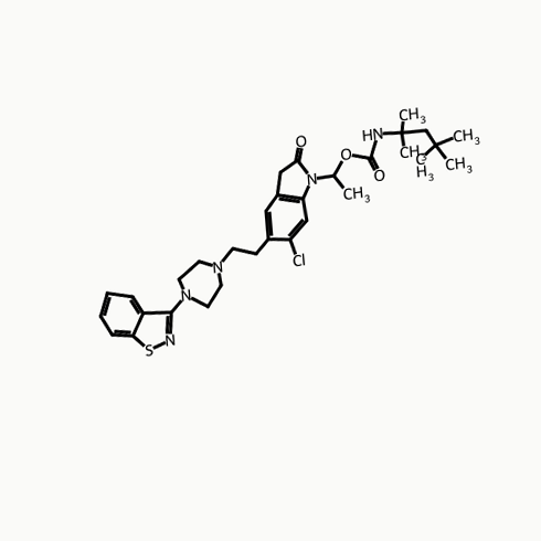 CC(OC(=O)NC(C)(C)CC(C)(C)C)N1C(=O)Cc2cc(CCN3CCN(c4nsc5ccccc45)CC3)c(Cl)cc21